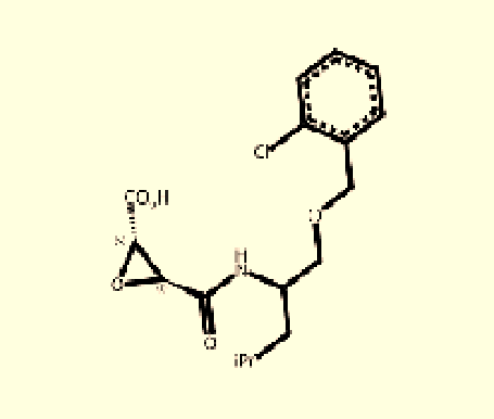 CC(C)CC(COCc1ccccc1Cl)NC(=O)[C@H]1O[C@@H]1C(=O)O